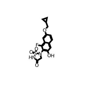 O=C1CN(c2c(O)cc3ccc(OCC4CC4)cc3c2F)S(=O)(=O)N1